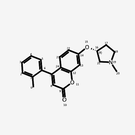 Cc1ccccc1-c1cc(=O)oc2cc(O[C@@H]3CCN(C)C3)ccc12